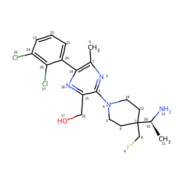 Cc1nc(N2CCC(CF)([C@H](C)N)CC2)c(CO)nc1-c1cccc(Cl)c1Cl